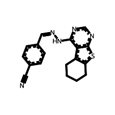 N#Cc1ccc(/C=N\Nc2ncnc3sc4c(c23)CCCC4)cc1